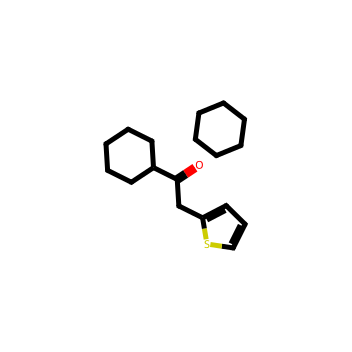 C1CCCCC1.O=C(Cc1cccs1)C1CCCCC1